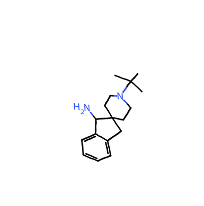 CC(C)(C)N1CCC2(CC1)Cc1ccccc1C2N